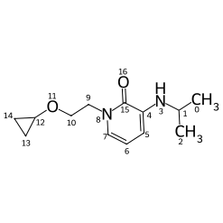 CC(C)Nc1cccn(CCOC2CC2)c1=O